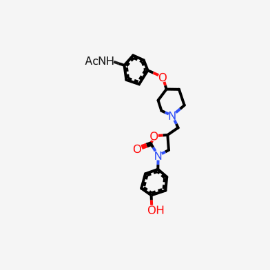 CC(=O)Nc1ccc(OC2CCN(CC3CN(c4ccc(O)cc4)C(=O)O3)CC2)cc1